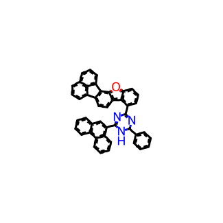 c1ccc(C2N=C(c3cccc4oc5c6c(ccc5c34)-c3cccc4cccc-6c34)N=C(c3cc4ccccc4c4ccccc34)N2)cc1